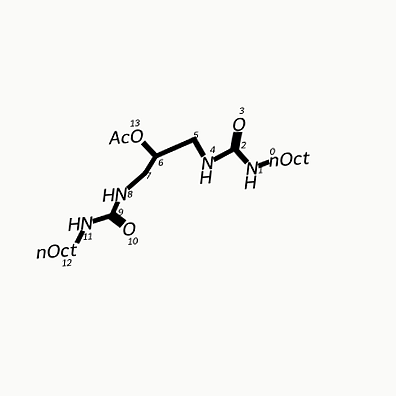 CCCCCCCCNC(=O)NCC(CNC(=O)NCCCCCCCC)OC(C)=O